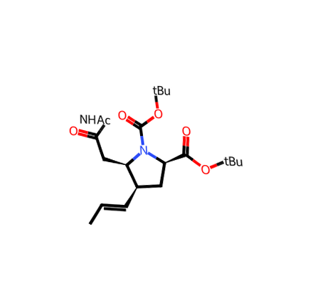 CC=C[C@@H]1C[C@H](C(=O)OC(C)(C)C)N(C(=O)OC(C)(C)C)[C@@H]1CC(=O)NC(C)=O